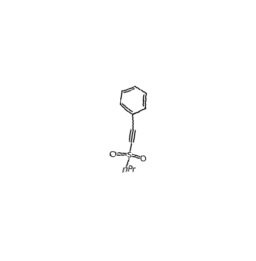 CCCS(=O)(=O)C#Cc1ccccc1